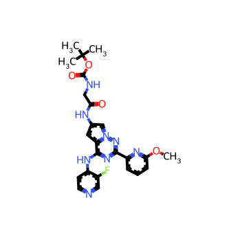 COc1cccc(-c2nc(Nc3ccncc3F)c3cc(NC(=O)CNC(=O)OC(C)(C)C)cn3n2)n1